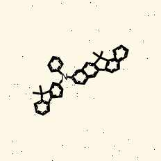 CC1(C)c2ccccc2-c2ccc(N(c3ccccc3)c3ccc4cc5c(cc4c3)C(C)(C)c3c-5ccc4ccccc34)cc21